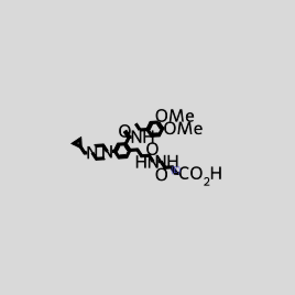 COc1ccc(C(C)NC(=O)c2cc(N3CCN(CC4CC4)CC3)ccc2CCC(=O)NNC(=O)/C=C/C(=O)O)cc1OC